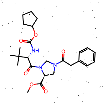 COC(=O)[C@@H]1CN(C(=O)Cc2ccccc2)CN1C(=O)[C@@H](NC(=O)OC1CCCC1)C(C)(C)C